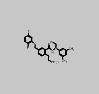 Cc1cc(C)cc(N(CC(C)C)NC(=O)c2cc(COc3cc(F)ccc3F)ccc2CCC(=O)O)c1